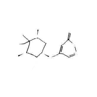 C[C@@H]1[C@@H](C)C(C)(C)[C@@H](C)C[C@H]1Nc1cn[nH]c(=O)c1